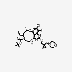 C[C@H]1CC(CI)N(C(=O)OC(C)(C)C)CCNc2nc(OCC3(CN4CCOCC4)CC3)nc3c(F)c(Cl)nc(c23)O1